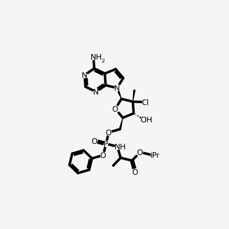 CC(C)OC(=O)C(C)NP(=O)(OC[C@H]1O[C@@H](n2ccc3c(N)ncnc32)[C@](C)(Cl)[C@@H]1O)Oc1ccccc1